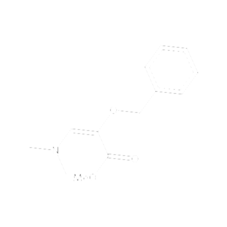 COC(=O)C(=CN(C)C)OCc1ccccc1